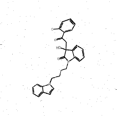 O=C(CC1(O)C(=O)N(CCCCn2ccc3ccccc32)c2ccccc21)c1ccccc1Cl